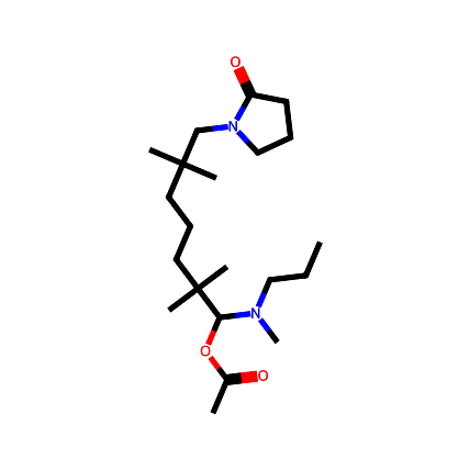 CCCN(C)C(OC(C)=O)C(C)(C)CCCC(C)(C)CN1CCCC1=O